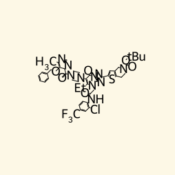 CCc1c(N2CCN(C(=O)c3ncnc(C)c3OCc3ccccc3)CC2)c(=O)n2nc(-c3cc4c(s3)CCN(C(=O)OC(C)(C)C)C4)nc2n1CC(=O)Nc1ccc(C(F)(F)F)cc1Cl